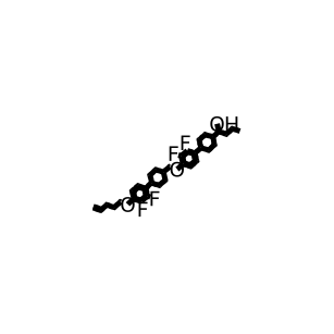 C=CCCCOc1ccc(C2CCC(COc3ccc(C4CCC(C(O)CCC)CC4)c(F)c3F)CC2)c(F)c1F